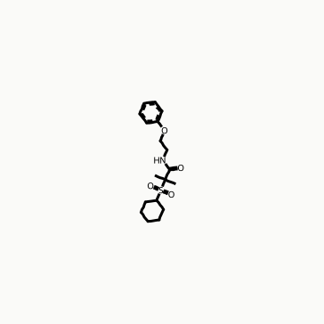 CC(C)(C(=O)NCCOc1ccccc1)S(=O)(=O)C1CCCCC1